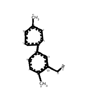 Cc1ccc(-c2ccc(C)c(CBr)c2)cc1